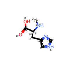 [2H]N[C@@H](Cc1c[nH]cn1)C(=O)O